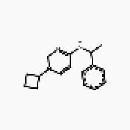 CC(NC1=NCN(C2CCC2)C=C1)c1ccccc1